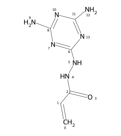 C=CC(=O)NNc1nc(N)nc(N)n1